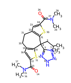 CC(C)CC1(c2nn[nH]n2)c2sc(C(=O)N(C)C)cc2CCc2cc(C(=O)N(C)C)sc21